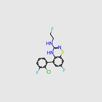 FCCNC1=NSc2cc(F)cc(-c3cccc(F)c3Cl)c2N1